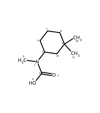 CN(C(=O)O)C1CCCC(C)(C)C1